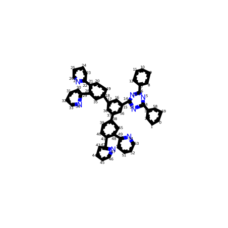 c1ccc(-c2nc(-c3ccccc3)nc(-c3cc(-c4ccc(-c5ccccn5)c(-c5ccccn5)c4)cc(-c4ccc(-c5ccccn5)c(-c5ccccn5)c4)c3)n2)cc1